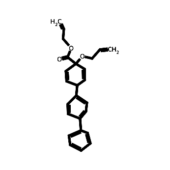 C=CCOC(=O)C1(OCC=C)C=CC(c2ccc(-c3ccccc3)cc2)C=C1